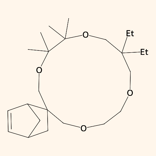 CCC1(CC)COCCOCC2(COC(C)(C)C(C)(C)OC1)CC1C=CC2C1